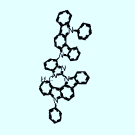 Cn1c(-n2c3ccccc3c3ccc4c(c5ccccc5n4-c4ccccc4)c32)nc2c(-n3c4ccccc4c4c3ccc3c5ccccc5n(-c5ccccc5)c34)cccc21